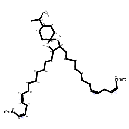 CCCCC/C=C\C/C=C\CCCCCCCC1OC2(CCC(C(C)I)CC2)OC1CCCCCCC/C=C\C/C=C\CCCCC